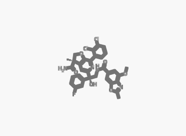 COc1cc(C(=O)NC[C@@](O)(c2cccc(F)c2)c2cc3c(c(-c4cccc(Cl)c4Cl)n2)OC[C@]3(C)C(N)=O)cc2oc(C)nc12